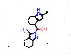 CCc1cc2c([nH]1)CCCC2C(O)n1nc2c(c1N)CCCC2